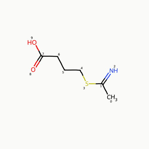 CC(=N)SCCCC(=O)O